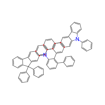 c1ccc(-c2ccccc2-c2c(-c3ccccc3)cccc2N(c2cccc(-c3ccc4c(c3)c3ccccc3n4-c3ccccc3)c2)c2ccc3c(c2)C(c2ccccc2)(c2ccccc2)c2ccccc2-3)cc1